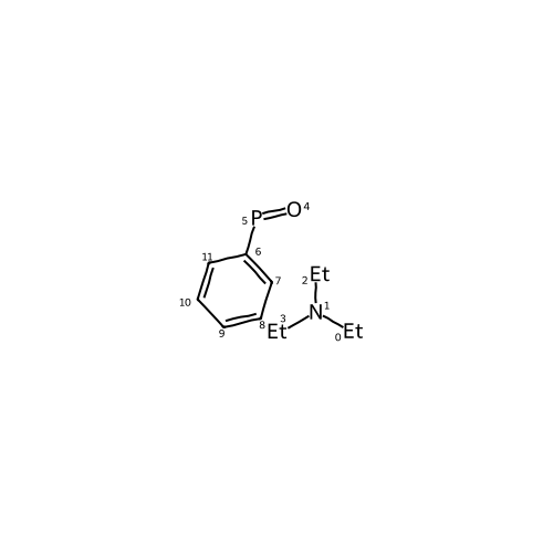 CCN(CC)CC.O=Pc1ccccc1